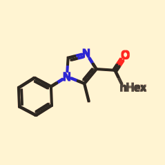 CCCCCCC(=O)c1ncn(-c2ccccc2)c1C